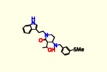 CSc1cccc(CN(C)C2CCN(CCc3c[nH]c4ccccc34)C(=O)C2C(C)O)c1